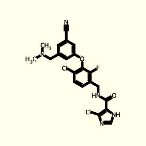 CN(C)Cc1cc(C#N)cc(Oc2c(Cl)ccc(CNC(=O)c3[nH]cnc3Cl)c2F)c1